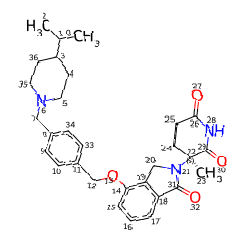 CC(C)C1CCN(Cc2ccc(COc3cccc4c3CN([C@@]3(C)CCC(=O)NC3=O)C4=O)cc2)CC1